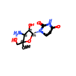 CO[C@]1(CO)O[C@@H](n2ccc(=O)[nH]c2=O)[C@H](O)[C@@H]1N